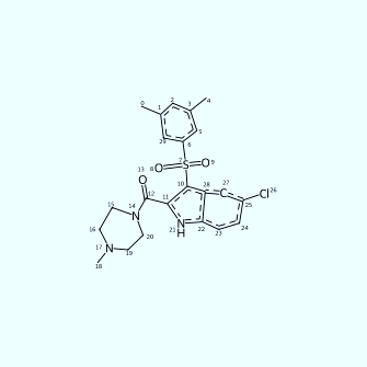 Cc1cc(C)cc(S(=O)(=O)c2c(C(=O)N3CCN(C)CC3)[nH]c3ccc(Cl)cc23)c1